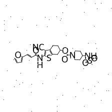 CS(=O)(=O)NC1CCN(C(=O)OC2CCc3c(sc(NC(=O)C=Cc4ccco4)c3C#N)C2)CC1